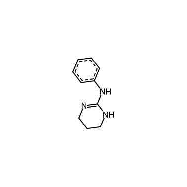 c1ccc(NC2=NCCCN2)cc1